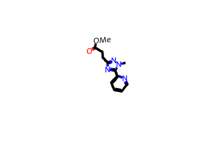 COC(=O)CCc1nc(-c2ccccn2)n(C)n1